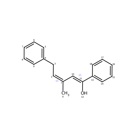 CC(=C/Cc1ccccc1)/C=C(\O)c1ccccc1